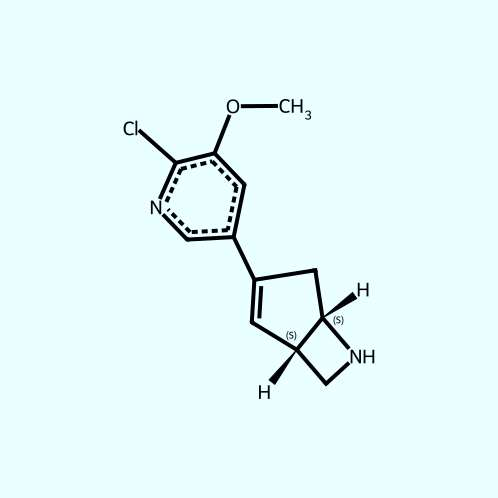 COc1cc(C2=C[C@H]3CN[C@H]3C2)cnc1Cl